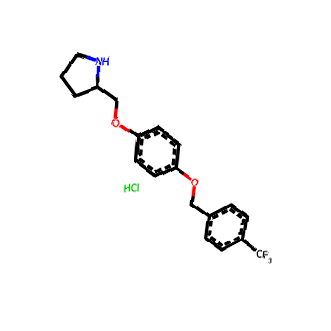 Cl.FC(F)(F)c1ccc(COc2ccc(OCC3CCCN3)cc2)cc1